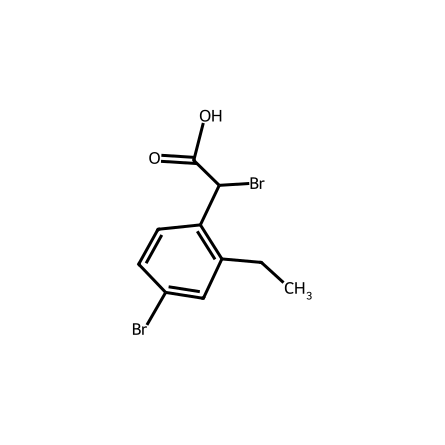 CCc1cc(Br)ccc1C(Br)C(=O)O